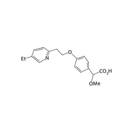 CCc1ccc(CCOc2ccc(C(OC)C(=O)O)cc2)nc1